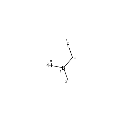 [2H]B(C)CF